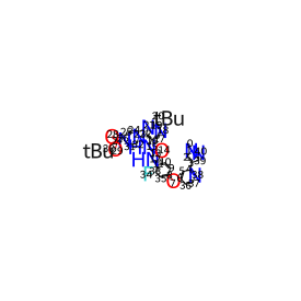 Cn1cc(-c2cc(Oc3ccc(NC(=O)Nc4cnc(C(C)(C)C)nc4N4CCN(C(=O)OC(C)(C)C)CC4)c(F)c3)ccn2)cn1